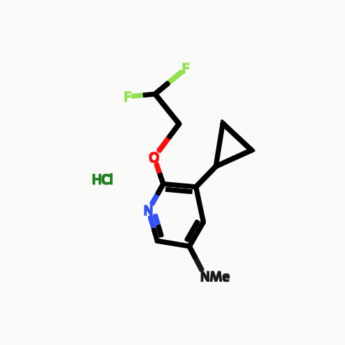 CNc1cnc(OCC(F)F)c(C2CC2)c1.Cl